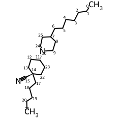 CCCCCCCC1CCN([C@H]2CC[C@@](C#N)(CCCCC)CC2)CC1